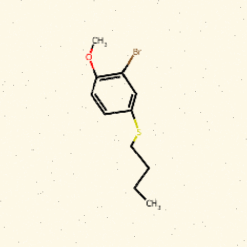 CCCCSc1ccc(OC)c(Br)c1